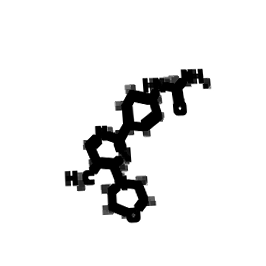 Cc1cnc(-c2ccc(NC(N)=O)cc2)nc1N1CCOCC1